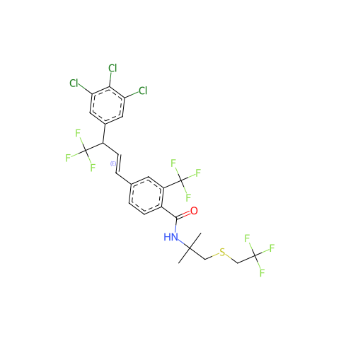 CC(C)(CSCC(F)(F)F)NC(=O)c1ccc(/C=C/C(c2cc(Cl)c(Cl)c(Cl)c2)C(F)(F)F)cc1C(F)(F)F